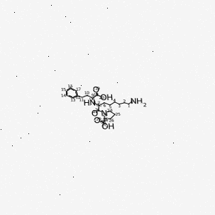 NCCCCCC[C@H](N[C@@H](CCc1ccccc1)C(=O)O)C(=O)N1CCC[C@H]1C(=O)O